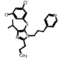 CC(C)c1nc(CCO)n(CCCc2ccncc2)c1Sc1cc(Cl)cc(Cl)c1